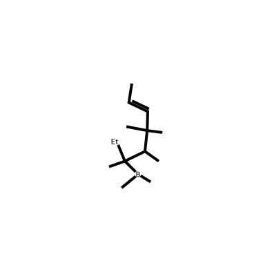 CC=CC(C)(C)C(C)C(C)(CC)B(C)C